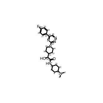 CN(C)C1CCC(NC(=O)C(O)C2CCN(c3nncc(-c4ccc(F)cc4)n3)CC2)CC1